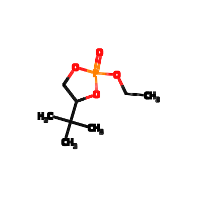 CCOP1(=O)OCC(C(C)(C)C)O1